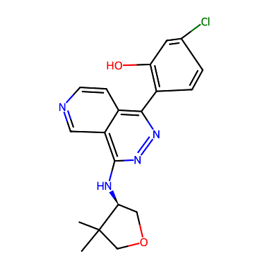 CC1(C)COC[C@@H]1Nc1nnc(-c2ccc(Cl)cc2O)c2ccncc12